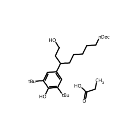 CCC(=O)O.CCCCCCCCCCCCCCCC(CCO)c1cc(C(C)(C)C)c(O)c(C(C)(C)C)c1